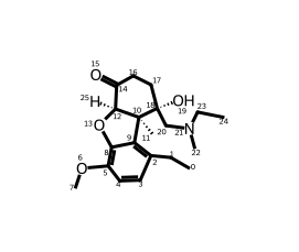 CCc1ccc(OC)c2c1[C@@]1(C)[C@@H](O2)C(=O)CC[C@@]1(O)CN(C)CC